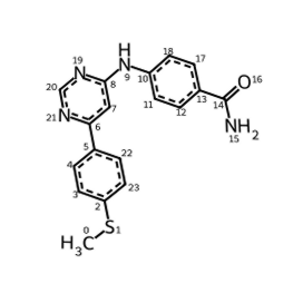 CSc1ccc(-c2cc(Nc3ccc(C(N)=O)cc3)ncn2)cc1